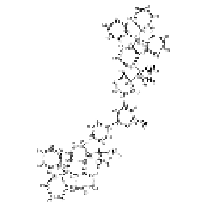 CC1(C)c2cc(-c3cc(Br)cc(-c4ccc5c(c4)C(C)(C)c4cc([Si](c6ccccc6)(c6ccccc6)c6ccccc6)ccc4-5)c3)ccc2-c2ccc([Si](c3ccccc3)(c3ccccc3)c3ccccc3)cc21